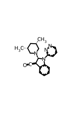 C[C@@H]1C[C@H](C)CN([C@@H]2C(=C=O)c3ccccc3N2c2cccnn2)C1